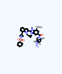 COc1cc(C(=O)N2C[C@H]3CC[C@@H]2C[C@@H]3N)cc2nc(-c3cc4cccc(C5CN(S(=O)(=O)c6ccccc6)C5)c4n3CC3CC3)n(C)c12